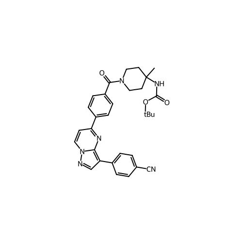 CC1(NC(=O)OC(C)(C)C)CCN(C(=O)c2ccc(-c3ccn4ncc(-c5ccc(C#N)cc5)c4n3)cc2)CC1